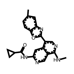 CNc1ncc(-c2nc3cc(C)ccc3o2)c2cc(NC(=O)C3CC3)ncc12